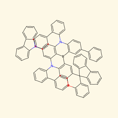 c1ccc(-c2ccc3c(c2)B2c4cc5c(cc4N(c4ccccc4-c4ccccc4)c4cc(-n6c7ccccc7c7ccccc76)cc(c42)N3c2ccccc2-c2ccccc2)Oc2ccccc2C52c3ccccc3-c3ccccc32)cc1